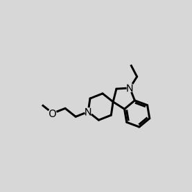 CCN1CC2(CCN(CCOC)CC2)c2ccccc21